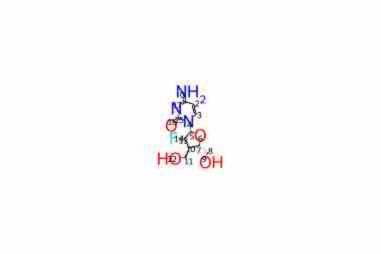 Nc1ccn([C@@H]2O[C@H](CO)[C@@H](CO)[C@@H]2F)c(=O)n1